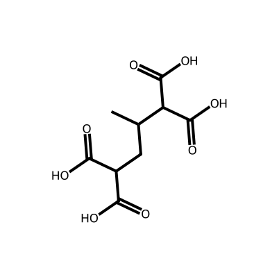 CC(CC(C(=O)O)C(=O)O)C(C(=O)O)C(=O)O